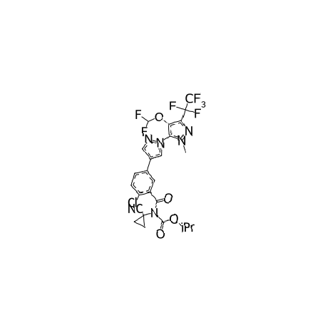 CC(C)OC(=O)N(C(=O)c1cc(-c2cnn(-c3c(OC(F)F)c(C(F)(F)C(F)(F)F)nn3C)c2)ccc1Cl)C1(C#N)CC1